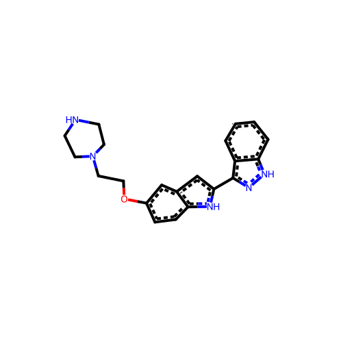 [c]1ccc2[nH]nc(-c3cc4cc(OCCN5CCNCC5)ccc4[nH]3)c2c1